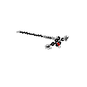 O=C(O)C(F)(F)F.O=S(=O)(N1CCC(N(c2ccccc2)c2ccnc3c(OOOOOOOOOOCCCCCCCCCCCCCCCCCCCCO)cc(C(c4ccc(Cl)cc4)c4ccc(Cl)cc4)cc23)CC1)C(F)(F)F